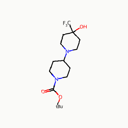 CC(C)(C)OC(=O)N1CCC(N2CCC(O)(C(F)(F)F)CC2)CC1